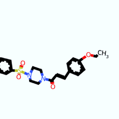 CCOc1ccc(/C=C/C(=O)N2CCN(S(=O)(=O)c3ccccc3)CC2)cc1